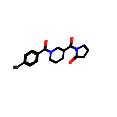 CC(C)(C)c1ccc(C(=O)N2CCCC(C(=O)N3CCCC3=O)C2)cc1